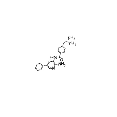 CC(C)Cc1ccc(C(=O)Nc2cc(-c3ccccc3)cnc2N)cc1